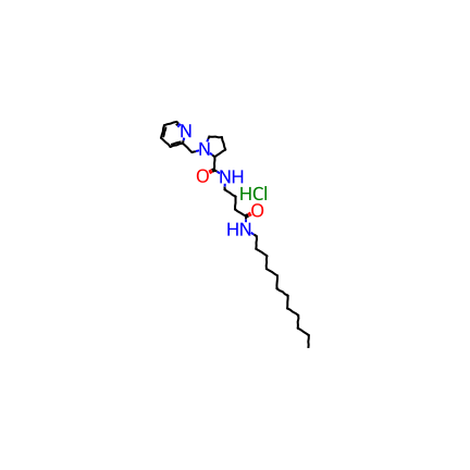 CCCCCCCCCCCCNC(=O)CCCNC(=O)C1CCCN1Cc1ccccn1.Cl